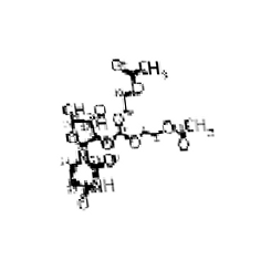 CC(=O)OCCOC(OCCOC(C)=O)OC1[C@@H](O)[C@@H](C)O[C@H]1n1ccc(=O)[nH]c1=O